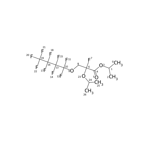 CC(C)OC(=O)C(F)(COC(F)(F)C(F)(F)C(F)(F)C(F)(F)F)OC(C)C